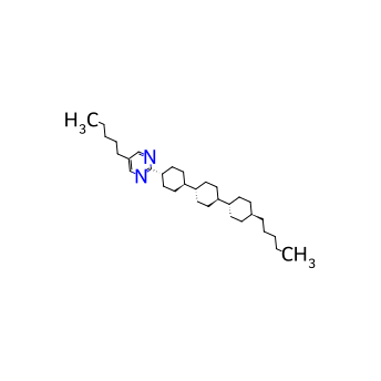 CCCCCc1cnc([C@H]2CC[C@H]([C@H]3CC[C@H]([C@H]4CC[C@H](CCCCC)CC4)CC3)CC2)nc1